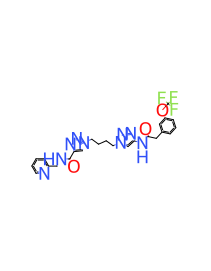 O=C(Cc1cccc(OC(F)(F)F)c1)Nc1cn(CCCCn2cc(C(=O)NCc3ccccn3)nn2)nn1